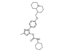 Cc1cc(OC(=O)NC2CCCCC2)n(-c2ccc(OCC3CCCN4CCCCC34)cc2)n1